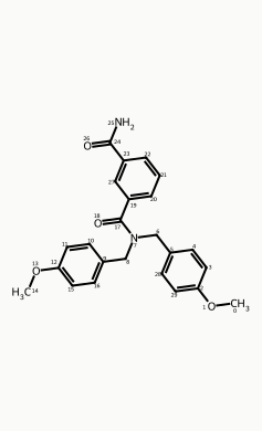 COc1ccc(CN(Cc2ccc(OC)cc2)C(=O)c2cccc(C(N)=O)c2)cc1